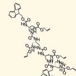 C=CCOC(=O)NC[C@@H](CNC(=O)N[C@@H](CNC(=O)OCC=C)CNC(=O)N(Cc1ccc(C)cc1OC)[C@H](CN=[N+]=[N-])CNC(=O)OCC=C)NC(=O)NC[C@H](CNC(=O)OCC=C)NC(=O)OCC1c2ccccc2-c2ccccc21